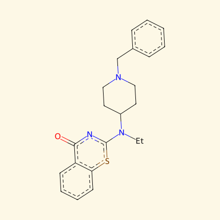 CCN(c1nc(=O)c2ccccc2s1)C1CCN(Cc2ccccc2)CC1